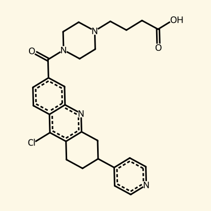 O=C(O)CCCN1CCN(C(=O)c2ccc3c(Cl)c4c(nc3c2)CC(c2ccncc2)CC4)CC1